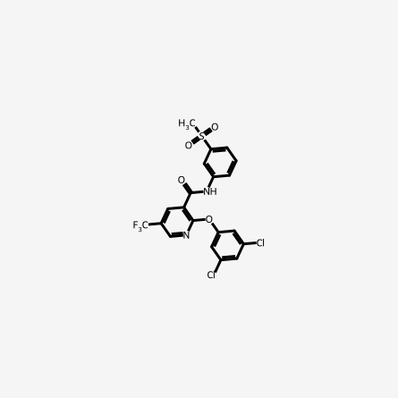 CS(=O)(=O)c1cccc(NC(=O)c2cc(C(F)(F)F)cnc2Oc2cc(Cl)cc(Cl)c2)c1